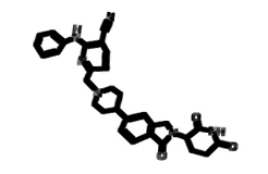 N#Cc1ccc(CN2CCC(c3ccc4c(c3)CN(C3CCC(=O)NC3=O)C4=O)CC2)nc1Nc1ccccc1